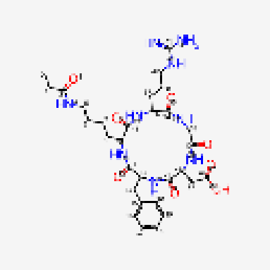 CCC(=O)NCCCCC1NC(=O)C(Cc2ccccc2)NC(=O)[C@H](CC(=O)O)NC(=O)CNC(=O)[C@H](CCCNC(=N)N)NC1=O